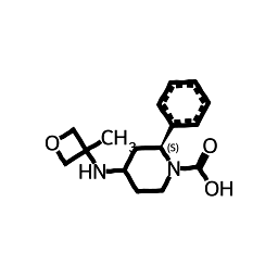 CC1(NC2CCN(C(=O)O)[C@H](c3ccccc3)C2)COC1